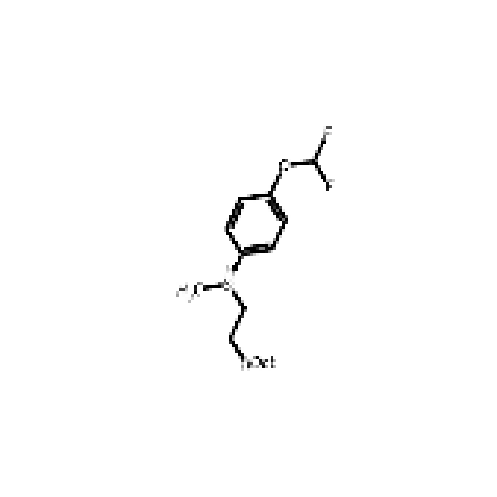 CCCCCCCCCC[SiH](C)c1ccc(OC(F)F)cc1